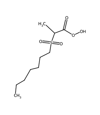 CCCCCCCS(=O)(=O)C(C)C(=O)OO